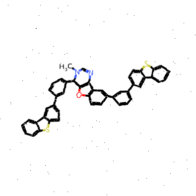 CN1C=Nc2c(oc3ccc(-c4cccc(-c5ccc6sc7ccccc7c6c5)c4)cc23)C1c1cccc(-c2ccc3sc4ccccc4c3c2)c1